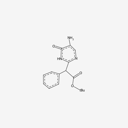 CC(C)(C)OC(=O)C(c1ccccc1)c1ncc(N)c(=O)[nH]1